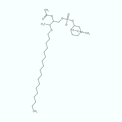 CCCCCCCCCCCCCCCCCCOC(C)C(COP(=O)([O-])OC1C[N+]2(C)CCC1CC2)OC(C)=O